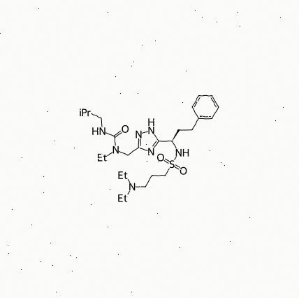 CCN(CC)CCCS(=O)(=O)N[C@H](CCc1ccccc1)c1nc(CN(CC)C(=O)NCC(C)C)n[nH]1